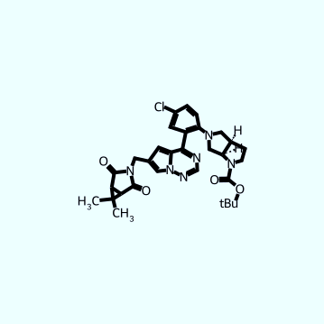 CC(C)(C)OC(=O)N1CC[C@@H]2CN(c3ccc(Cl)cc3-c3ncnn4cc(CN5C(=O)C6C(C5=O)C6(C)C)cc34)C[C@@H]21